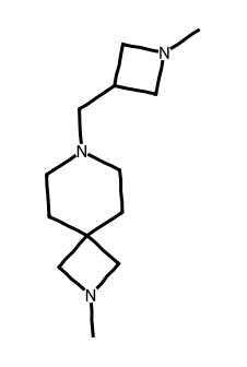 CN1CC(CN2CCC3(CC2)CN(C)C3)C1